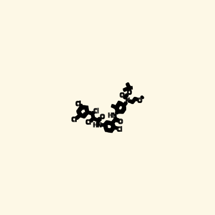 COCCN(C(=O)OC(C)(C)C)c1ccc(NC(=O)c2cc(NC(=O)C(Cl)C(Cl)c3cc(Cl)cc(Cl)c3)ccc2Cl)c(C)c1